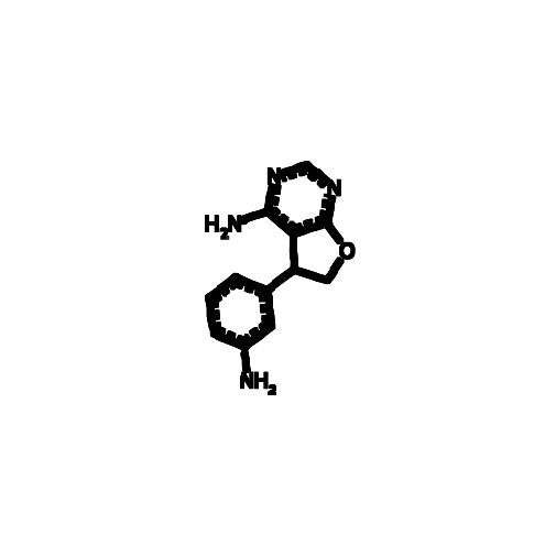 Nc1cccc(C2COc3ncnc(N)c32)c1